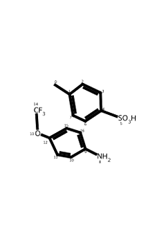 Cc1ccc(S(=O)(=O)O)cc1.Nc1ccc(OC(F)(F)F)cc1